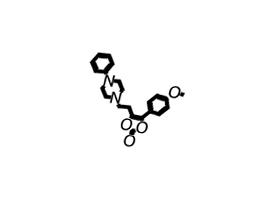 COc1ccc(-c2oc(=O)oc2CCN2CCN(c3ccccc3)CC2)cc1